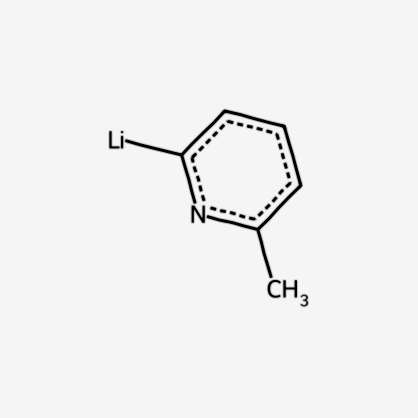 [Li][c]1cccc(C)n1